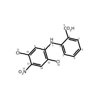 O=C(O)c1ccccc1Nc1cc(Cl)c([N+](=O)[O-])cc1Cl